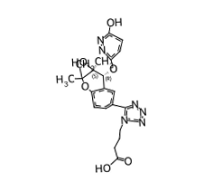 CC1(C)Oc2ccc(-c3nnnn3CCCC(=O)O)cc2[C@@H](Oc2ccc(O)nn2)[C@]1(C)O